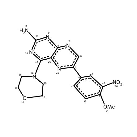 COc1ccc(-c2cnc3nc(N)nc(N4CCOCC4)c3n2)cc1[N+](=O)[O-]